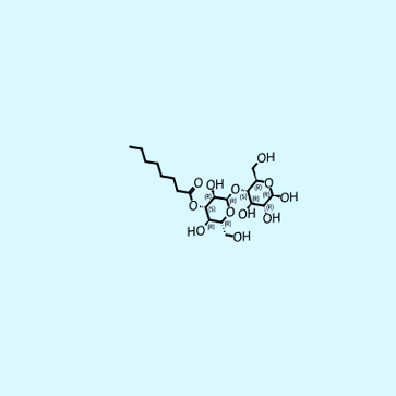 CCCCCCCC(=O)O[C@@H]1[C@@H](O)[C@@H](O[C@H]2[C@H](O)[C@@H](O)[C@H](O)O[C@@H]2CO)O[C@H](CO)[C@H]1O